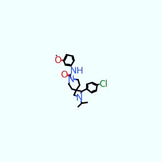 COc1cccc(NC(=O)N2CCC3(CC2)CN(C(C)C)C3c2ccc(Cl)cc2)c1